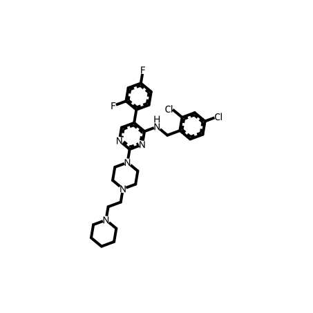 Fc1ccc(-c2cnc(N3CCN(CCN4CCCCC4)CC3)nc2NCc2ccc(Cl)cc2Cl)c(F)c1